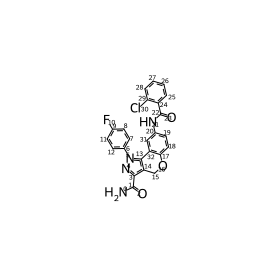 NC(=O)c1nn(-c2ccc(F)cc2)c2c1COc1ccc(NC(=O)c3ccccc3Cl)cc1-2